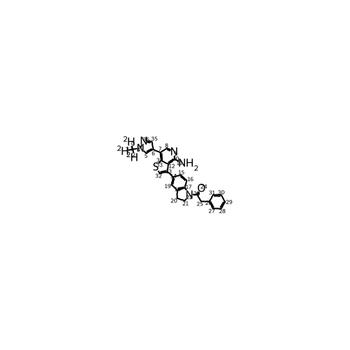 [2H]C([2H])([2H])n1cc(-c2cnc(N)c3c(-c4ccc5c(c4)CCN5C(=O)Cc4ccccc4)csc23)cn1